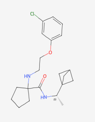 C[C@H](NC(=O)C1(NCCOc2cccc(Cl)c2)CCCC1)C12CC(C1)C2